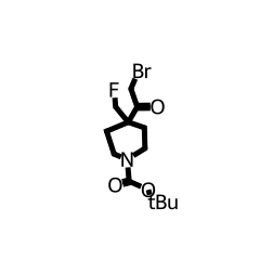 CC(C)(C)OC(=O)N1CCC(CF)(C(=O)CBr)CC1